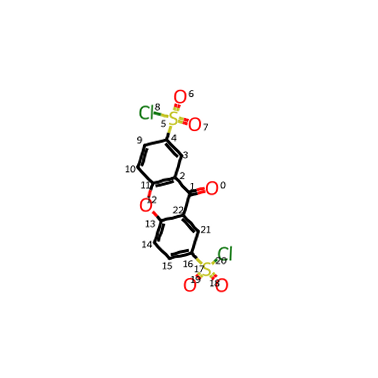 O=c1c2cc(S(=O)(=O)Cl)ccc2oc2ccc(S(=O)(=O)Cl)cc12